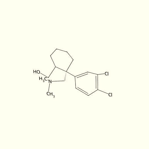 CN(C)C[C@@]1(c2ccc(Cl)c(Cl)c2)CCCCC1CO